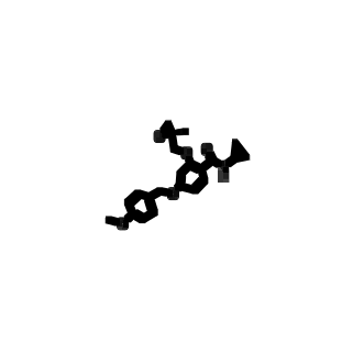 COc1ccc(COc2ccc(C(=O)NC3CC3)c(OC[C@@]3(C)CO3)c2)cc1